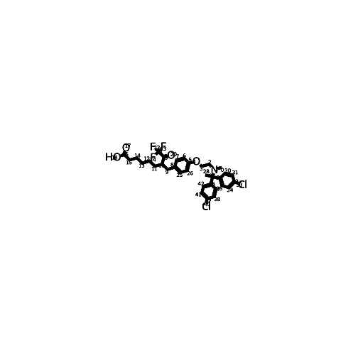 CN(CCOc1ccc(CC(CCCCCC(=O)O)C(=O)C(F)(F)F)cc1)C(C)(c1ccc(Cl)cc1)c1ccc(Cl)cc1